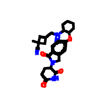 CC1(C#N)CC(CNC2CCCCC2Oc2ccc3c(c2)CN(C2CCC(=O)NC2=O)C3=O)C1